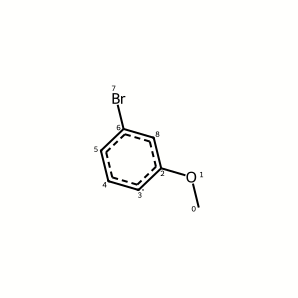 COc1[c]ccc(Br)c1